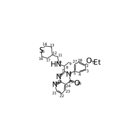 CCOc1ccc(-n2c(C(C)NCC3CCSCC3)nc3ncccc3c2=O)cc1